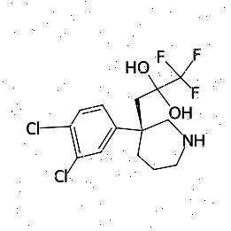 OC(O)(C[C@]1(c2ccc(Cl)c(Cl)c2)CCCNC1)C(F)(F)F